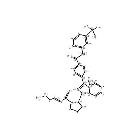 COC/C=C/C(=O)N1CCCC1C1=C2C=NC=C[N+]2(N)C(c2ccc(C(=O)Nc3cc(C(F)(F)F)ccn3)cc2)=N1